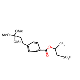 CO[Si](CCc1ccc(C(=O)OC(CS(=O)(=O)O)C(F)(F)F)cc1)(OC)OC